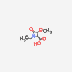 CCN1C(=O)C(OC)[C@H]1C(=O)O